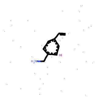 C=Cc1ccc(CN)cc1.I